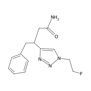 NC(=O)CC(Cc1ccccc1)c1cn(CCF)nn1